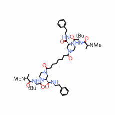 CN[C@@H](C)C(=O)N[C@H](C(=O)N1CCN(C(=O)CCCCCCC(=O)N2CCN(C(=O)[C@@H](NC(=O)[C@H](C)NC)C(C)(C)C)[C@H](C(=O)NCCc3ccccc3)C2)C[C@H]1C(=O)NCCc1ccccc1)C(C)(C)C